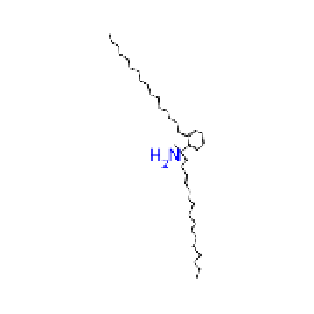 CCCCCCCCCCCCCCCCc1ccccc1C(C)(N)CCCCCCCCCCCCCCCC